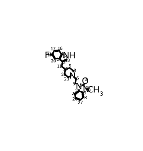 Cn1c(=O)n(CCN2CCC(Cc3c[nH]c4ccc(F)cc34)CC2)c2ccccc21